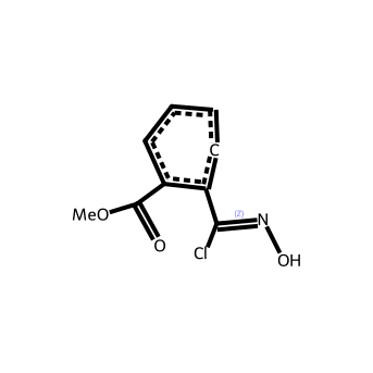 COC(=O)c1ccccc1/C(Cl)=N/O